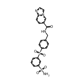 NS(=O)(=O)c1cccc(S(=O)(=O)c2ccc(CNC(=O)c3ccc4nccn4c3)cc2)c1